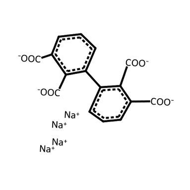 O=C([O-])c1cccc(-c2cccc(C(=O)[O-])c2C(=O)[O-])c1C(=O)[O-].[Na+].[Na+].[Na+].[Na+]